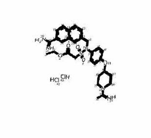 CCOC(=O)CS(=O)(=O)N(Cc1ccc2ccc(C(=N)N)cc2c1)c1ccc(OC2CCN(C(C)=N)CC2)cc1.Cl.Cl